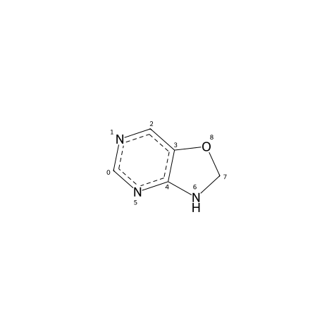 c1ncc2c(n1)NCO2